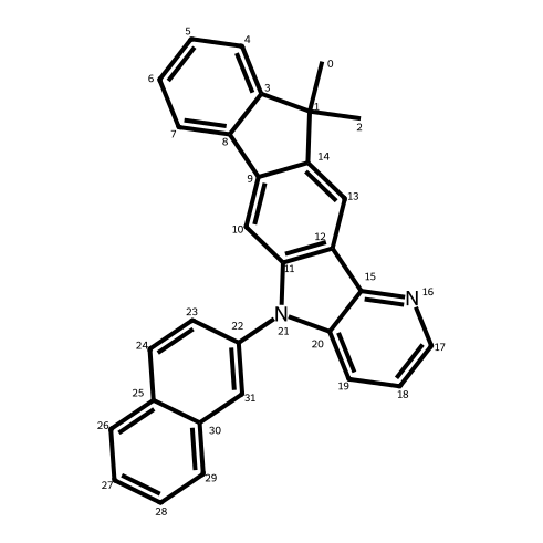 CC1(C)c2ccccc2-c2cc3c(cc21)c1ncccc1n3-c1ccc2ccccc2c1